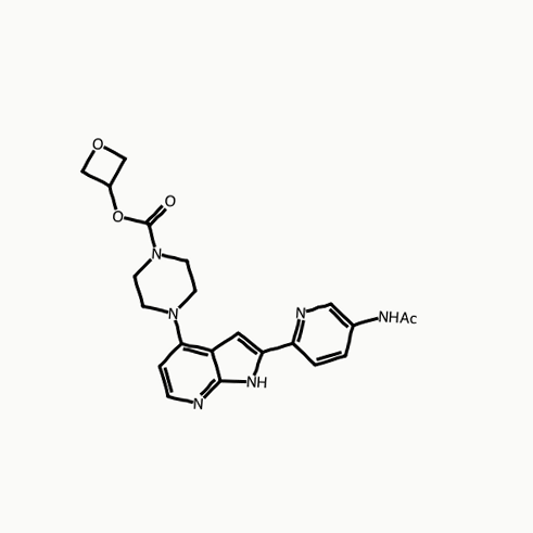 CC(=O)Nc1ccc(-c2cc3c(N4CCN(C(=O)OC5COC5)CC4)ccnc3[nH]2)nc1